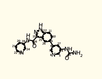 NC(=O)Nc1cncc(-c2ccc3[nH]nc(C(=O)Nc4cccnc4)c3c2)c1